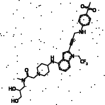 CN(CC(O)CO)C(=O)CN1CCC(Nc2cccc3c2cc(C#CCNc2ccc(S(C)(=O)=O)cc2)n3CC(F)(F)F)CC1